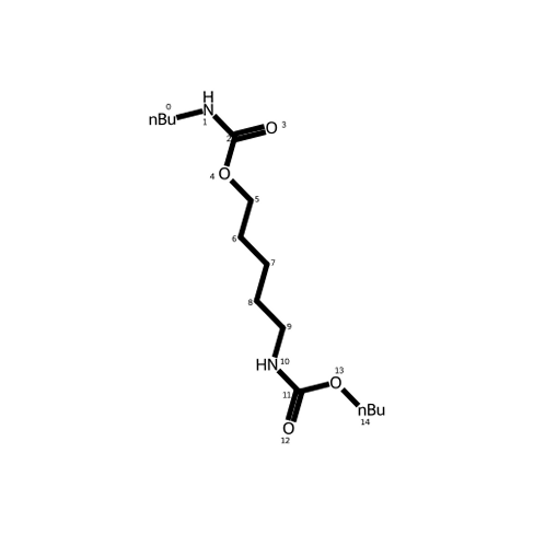 [CH2]CCCNC(=O)OCCCCCNC(=O)OCCCC